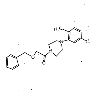 Cc1ccc(Cl)cc1N1CCN(C(=O)COCc2ccccc2)CC1